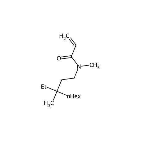 C=CC(=O)N(C)CCC(C)(CC)CCCCCC